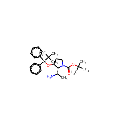 CC(N)[C@@H]1[C@@H](O[Si](c2ccccc2)(c2ccccc2)C(C)(C)C)CCN1C(=O)OC(C)(C)C